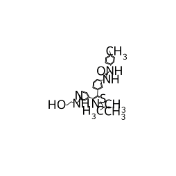 Cc1ccc(NC(=O)Nc2cccc(-c3sc(C(C)(C)C)nc3-c3ccnc(NCCO)c3)c2)cc1